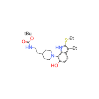 CCSc1[nH]c2c(N3CCC(CCNC(=O)OC(C)(C)C)CC3)c(O)ccc2c1CC